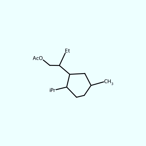 CCC(COC(C)=O)C1CC(C)CCC1C(C)C